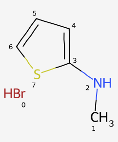 Br.CNc1cccs1